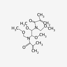 C=C(C)C(=O)N(COC)C(OC)C(OC)N(COC)C(=O)C(=C)C